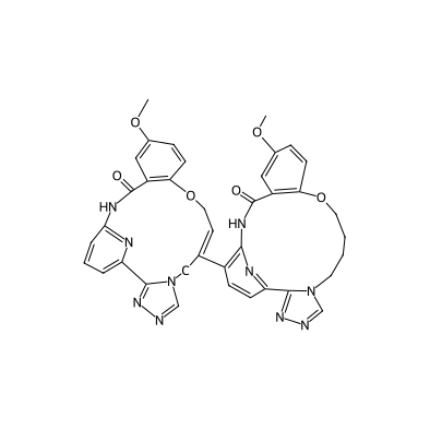 COc1ccc2c(c1)C(=O)Nc1cccc(n1)-c1nncn1C/C(c1ccc3nc1NC(=O)c1cc(OC)ccc1OCCCCn1cnnc1-3)=C\CO2